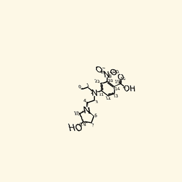 CCN(CCN1CCC(O)C1)c1ccc(C(=O)O)c([N+](=O)[O-])c1